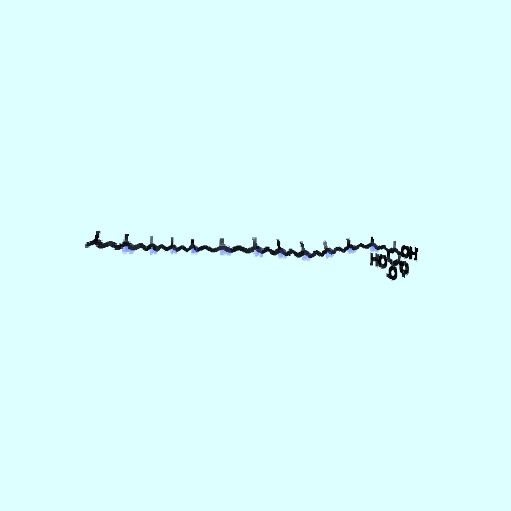 COC1=C(OC)C(O)C(C/C=C(\C)CC/C=C(\C)CC/C=C(\C)CC/C=C(\C)CC/C=C(\C)CC/C=C(\C)CC/C=C(\C)CC/C=C(\C)CC/C=C(\C)CC/C=C(\C)CC/C=C(\C)CCC=C(C)C)=C(C)C1O